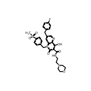 CS(=O)(=O)c1ccc(Cn2c(=O)c(C(=O)NCCN3CCOCC3)c(O)c3ncc(Cc4ccc(F)cc4)cc32)cc1